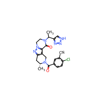 CC(c1c[nH]nn1)N1CCn2nc3c(c2C1=O)CN(C(=O)c1ccc(Cl)c(C#N)c1)[C@H](C)C3